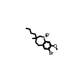 CCCCC1(C)CCc2cc(Br)c(OC)cc2[S+]([O-])C1